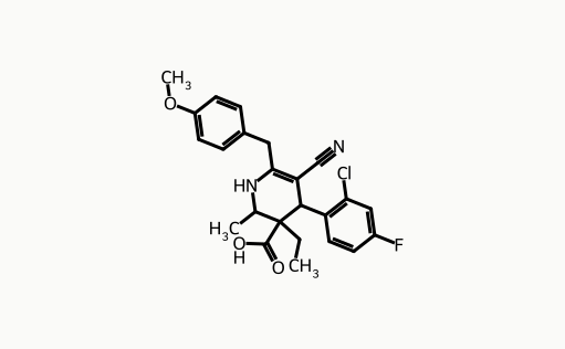 CCC1(C(=O)O)C(C)NC(Cc2ccc(OC)cc2)=C(C#N)C1c1ccc(F)cc1Cl